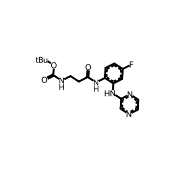 CC(C)(C)OC(=O)NCCC(=O)Nc1ccc(F)cc1Nc1cnccn1